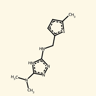 Cc1ccc(CNc2nnc(N(C)C)[nH]2)s1